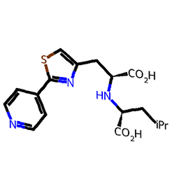 CC(C)C[C@H](N[C@@H](Cc1csc(-c2ccncc2)n1)C(=O)O)C(=O)O